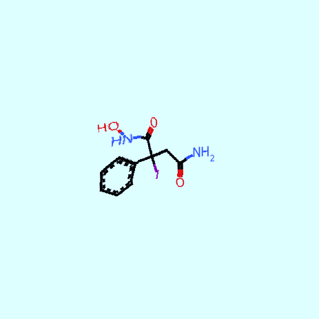 NC(=O)CC(I)(C(=O)NO)c1ccccc1